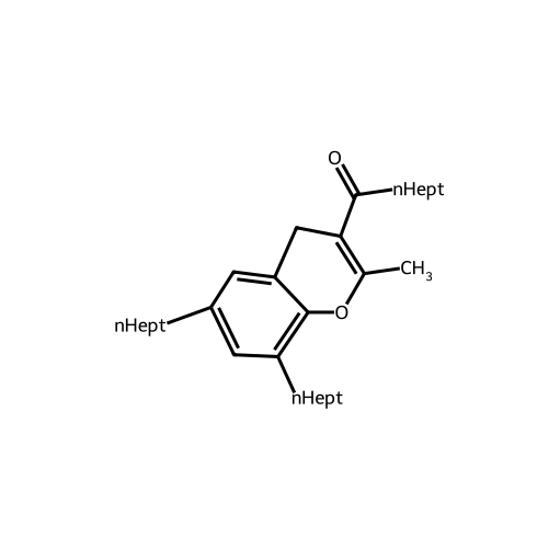 CCCCCCCC(=O)C1=C(C)Oc2c(CCCCCCC)cc(CCCCCCC)cc2C1